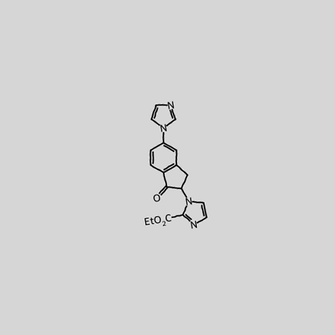 CCOC(=O)c1nccn1C1Cc2cc(-n3ccnc3)ccc2C1=O